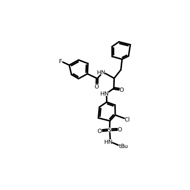 CC(C)(C)NS(=O)(=O)c1ccc(NC(=O)C(Cc2ccccc2)NC(=O)c2ccc(F)cc2)cc1Cl